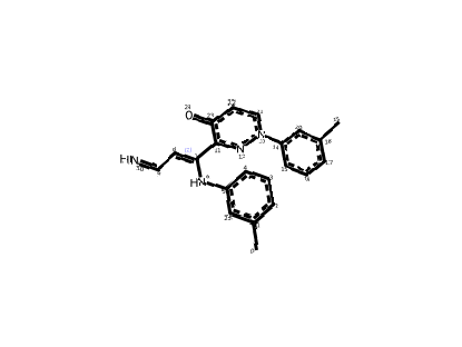 Cc1cccc(N/C(=C\C=N)c2nn(-c3cccc(C)c3)ccc2=O)c1